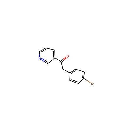 O=C(Cc1ccc(Br)cc1)c1cccnc1